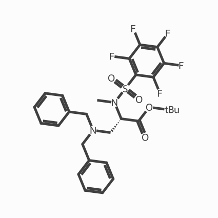 CN([C@@H](CN(Cc1ccccc1)Cc1ccccc1)C(=O)OC(C)(C)C)S(=O)(=O)c1c(F)c(F)c(F)c(F)c1F